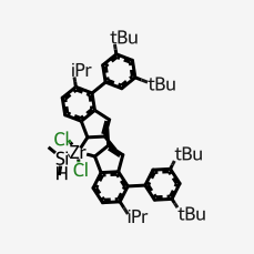 CC1=Cc2c(ccc(C(C)C)c2-c2cc(C(C)(C)C)cc(C(C)(C)C)c2)[CH]1[Zr]([Cl])([Cl])([CH]1C(C)=Cc2c1ccc(C(C)C)c2-c1cc(C(C)(C)C)cc(C(C)(C)C)c1)[SiH](C)C